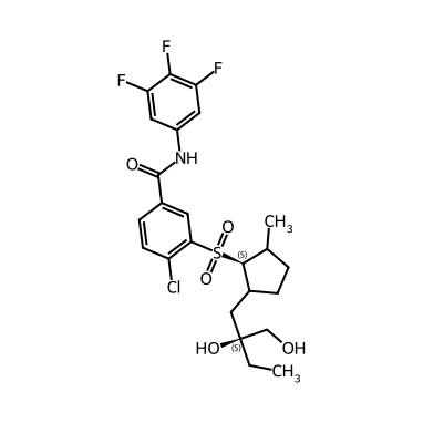 CC[C@@](O)(CO)CC1CCC(C)[C@@H]1S(=O)(=O)c1cc(C(=O)Nc2cc(F)c(F)c(F)c2)ccc1Cl